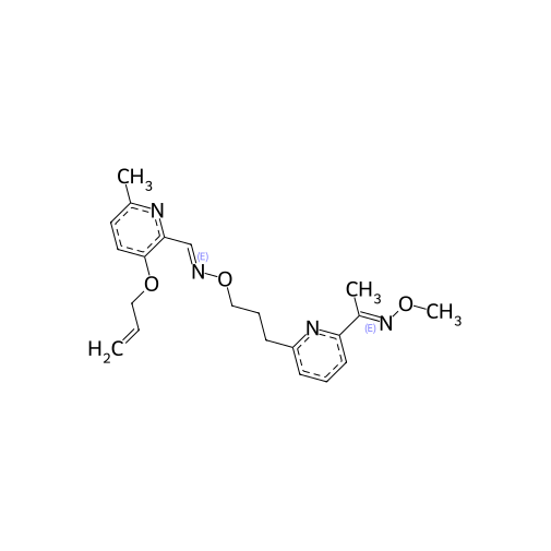 C=CCOc1ccc(C)nc1/C=N/OCCCc1cccc(/C(C)=N/OC)n1